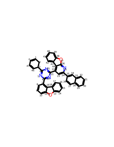 C1=CCC(c2nc(-c3cccc4oc5ccccc5c34)nc(-c3cc(-c4ccc5ccccc5c4)nc4oc5ccccc5c34)n2)C=C1